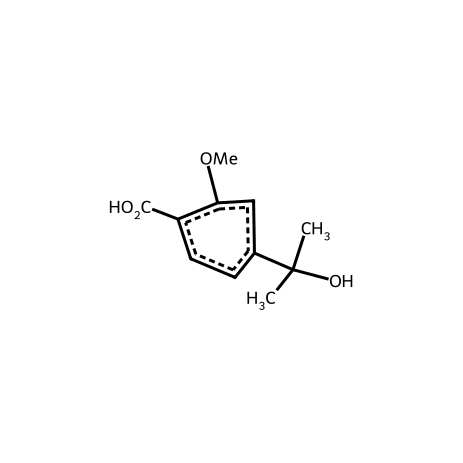 COc1cc(C(C)(C)O)ccc1C(=O)O